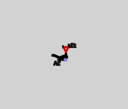 CCO/C=C(\C)C(C)=O